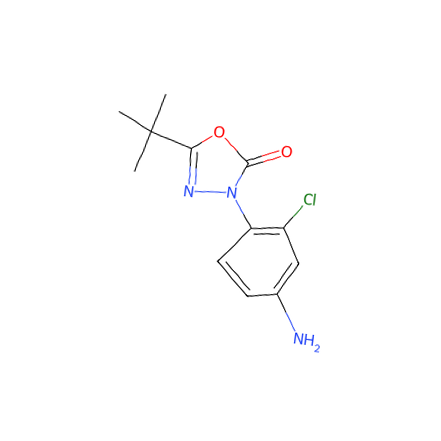 CC(C)(C)c1nn(-c2ccc(N)cc2Cl)c(=O)o1